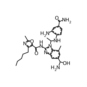 CCCCCc1nc(C)oc1C(=O)Nc1nc2cc(C(N)O)cc(C)c2n1C(C)Nc1ccc(C(N)=O)cc1N